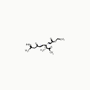 CCOC(=O)/C=C/[C@@H](/C=C/C(=O)CC(C)=N)[C@@H](C)C(C)=O